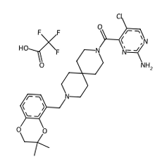 CC1(C)COc2cccc(CN3CCC4(CC3)CCN(C(=O)c3nc(N)ncc3Cl)CC4)c2O1.O=C(O)C(F)(F)F